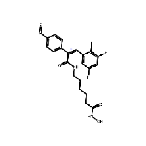 O=Nc1ccc(/C(=C/c2cc(F)cc(F)c2F)C(=O)NCCCCCC(=O)NO)cc1